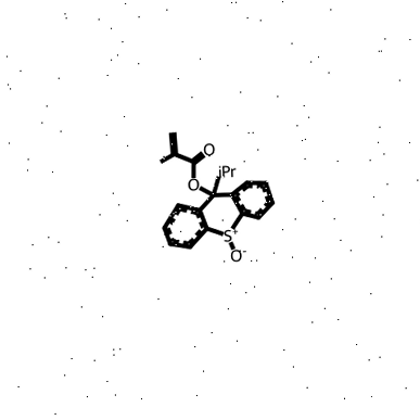 C=C(C)C(=O)OC1(C(C)C)c2ccccc2[S+]([O-])c2ccccc21